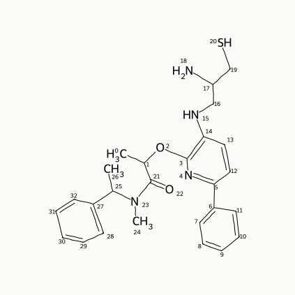 CC(Oc1nc(-c2ccccc2)ccc1NCC(N)CS)C(=O)N(C)C(C)c1ccccc1